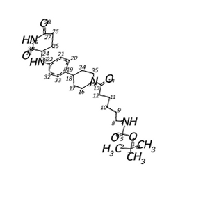 CC(C)(C)OC(=O)NCCCCCC(=O)N1CCC(c2ccc(NC3CCC(=O)NC3=O)cc2)CC1